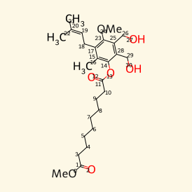 COC(=O)CCCCCCCCC(=O)Oc1c(C)c(CC=C(C)C)c(OC)c(CO)c1CO